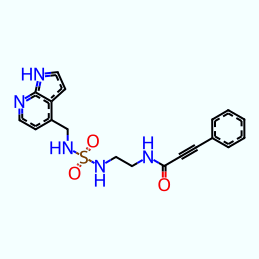 O=C(C#Cc1ccccc1)NCCNS(=O)(=O)NCc1ccnc2[nH]ccc12